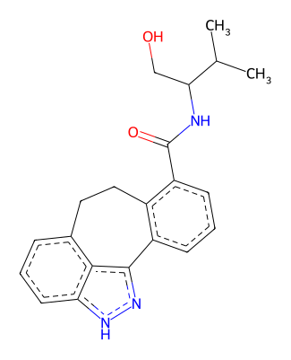 CC(C)C(CO)NC(=O)c1cccc2c1CCc1cccc3[nH]nc-2c13